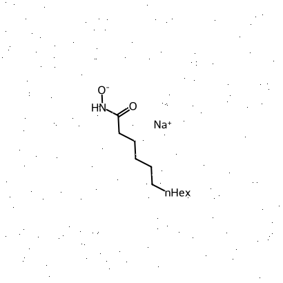 CCCCCCCCCCCC(=O)N[O-].[Na+]